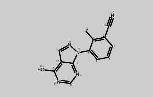 Cc1c(C#N)cccc1-n1ncc2c(O)ncnc21